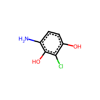 Nc1ccc(O)c(Cl)c1O